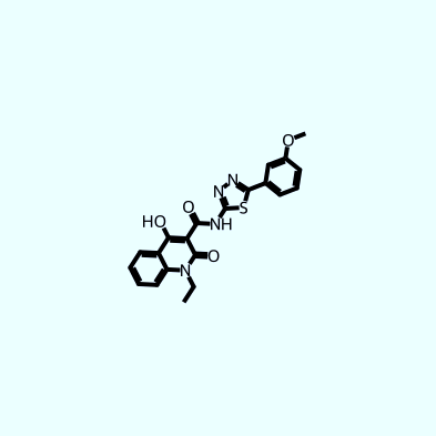 CCn1c(=O)c(C(=O)Nc2nnc(-c3cccc(OC)c3)s2)c(O)c2ccccc21